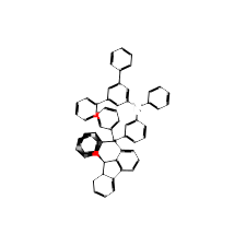 C1=CCC2C(=C1)c1cccc3c1C2(c1ccccc1)c1ccccc1C3(c1ccccc1)c1cccc(N(c2ccccc2)c2cc(-c3ccccc3)cc(-c3ccccc3)c2)c1